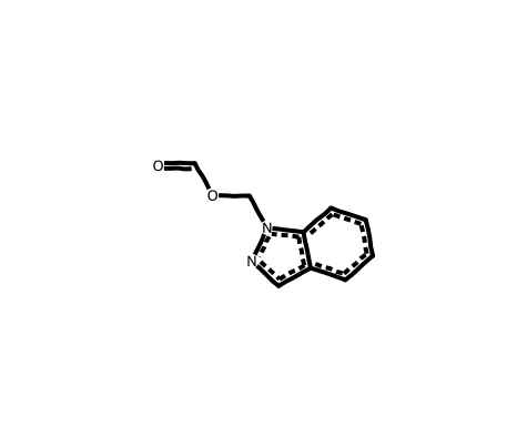 O=COCn1ncc2ccccc21